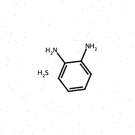 Nc1ccccc1N.S